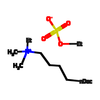 CCCCCCCCCCCCCC[N+](C)(C)CC.CCOS(=O)(=O)[O-]